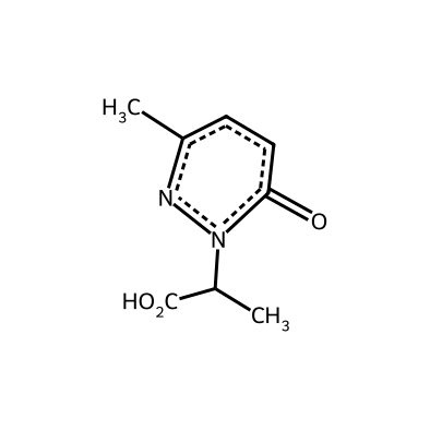 Cc1ccc(=O)n(C(C)C(=O)O)n1